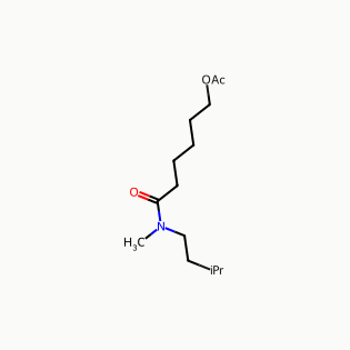 CC(=O)OCCCCCC(=O)N(C)CCC(C)C